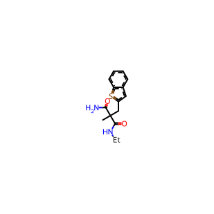 CCNC(=O)C(C)(Cc1cc2ccccc2s1)C(N)=O